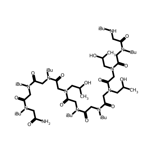 CCC(C)NCC(=O)N(CC(=O)N(CC(=O)N(CC(=O)N(CC(=O)N(CC(=O)N(CC(=O)N(CC(=O)N(CC(=O)N(CC(N)=O)C(C)CC)C(C)CC)C(C)CC)CC(C)O)C(C)CC)C(C)CC)CC(C)O)CC(C)O)C(C)CC